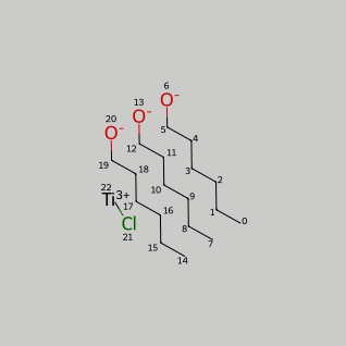 CCCCCC[O-].CCCCCC[O-].CCCCCC[O-].[Cl][Ti+3]